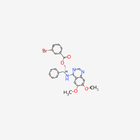 COc1cc2ncnc(N[C@@H](COC(=O)c3cccc(Br)c3)c3ccccc3)c2cc1OC